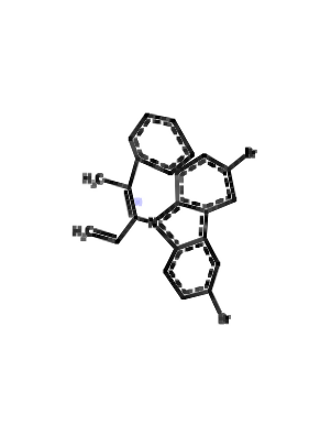 C=C/C(=C(\C)c1ccccc1)n1c2ccc(Br)cc2c2cc(Br)ccc21